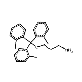 Cc1ccccc1C(OCCCN)(c1ccccc1C)c1ccccc1C